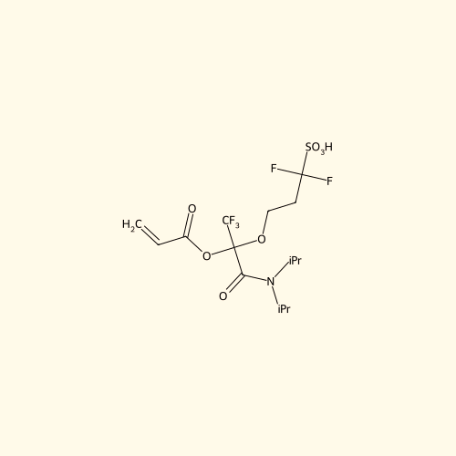 C=CC(=O)OC(OCCC(F)(F)S(=O)(=O)O)(C(=O)N(C(C)C)C(C)C)C(F)(F)F